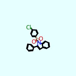 O=S(=O)(c1ccc(Cl)cc1)n1c(-c2ccccc2)cc2ccccc21